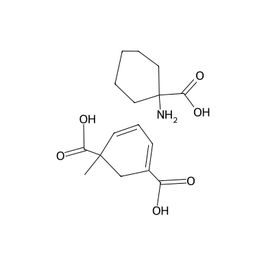 CC1(C(=O)O)C=CC=C(C(=O)O)C1.NC1(C(=O)O)CCCCC1